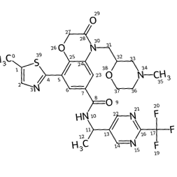 Cc1cnc(-c2cc(C(=O)NC(C)c3cnc(C(F)(F)F)nc3)cc3c2OCC(=O)N3CC2CN(C)CCO2)s1